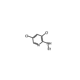 [CH2]CNc1ncc(Cl)cc1Cl